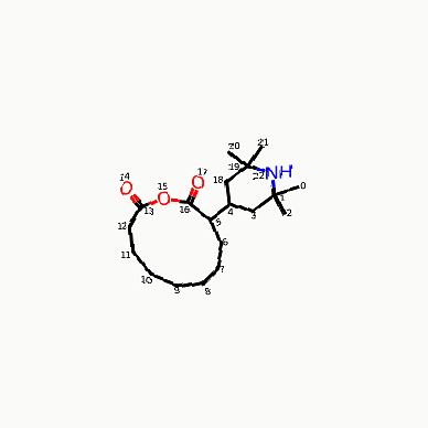 CC1(C)CC(C2CCCCCCCC(=O)OC2=O)CC(C)(C)N1